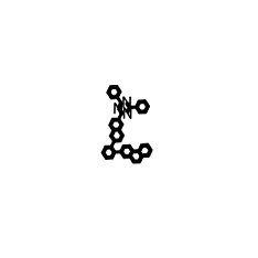 c1ccc(-c2nc(-c3ccccc3)nc(-c3ccc4cc(-c5ccccc5-c5ccc6c(ccc7ccccc76)c5)ccc4c3)n2)cc1